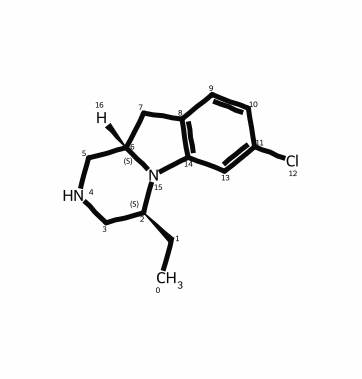 CC[C@H]1CNC[C@@H]2Cc3ccc(Cl)cc3N21